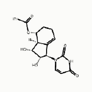 CC(C)C(=O)O[C@@H]1CCC=C2[C@H]1[C@@H](O)[C@@H](O)[C@@H]2n1ccc(=O)[nH]c1=O